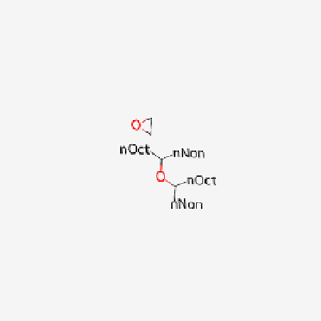 C1CO1.CCCCCCCCCC(CCCCCCCC)OC(CCCCCCCC)CCCCCCCCC